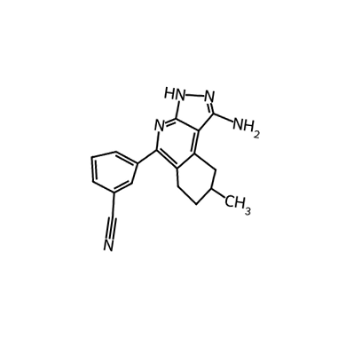 CC1CCc2c(-c3cccc(C#N)c3)nc3[nH]nc(N)c3c2C1